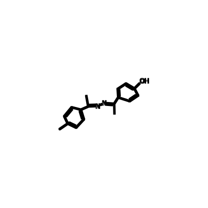 C/C(=N\N=C(/C)c1ccc(O)cc1)c1ccc(C)cc1